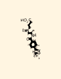 CCN(CCCC(=O)O)C[C@@H](C)NC(=O)c1ccc(-c2noc(C(F)(F)F)n2)cc1